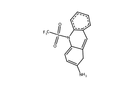 NC1=CC=C2C(=Cc3ccccc3N2S(=O)(=O)C(F)(F)F)C1